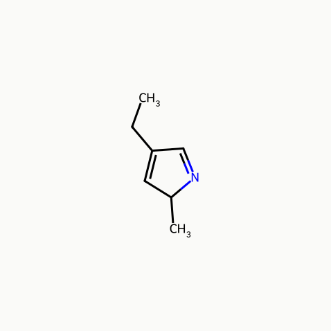 CCC1=CC(C)N=C1